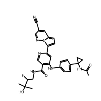 CC(=O)NC1(c2ccc(Nc3cc(-c4ccc5cc(C#N)cnn45)ncc3C(=O)NCC(F)C(C)(C)O)cc2)CC1